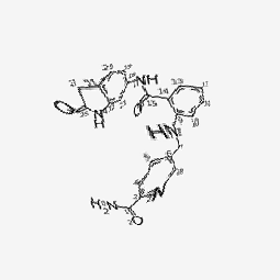 NC(=O)c1ccc(CNc2ccccc2C(=O)Nc2ccc3c(c2)NC(=O)C3)cn1